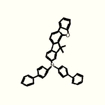 CC1(C)c2cc(N(c3ccc(-c4ccccc4)cc3)c3ccc(-c4ccccc4)cc3)ccc2-c2ccc3c(oc4ccccc43)c21